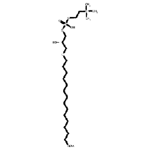 CCCCCCCCCCCCCCCCCCCCCCCCOC[C@H](O)COP(=O)(O)OCC[N+](C)(C)C